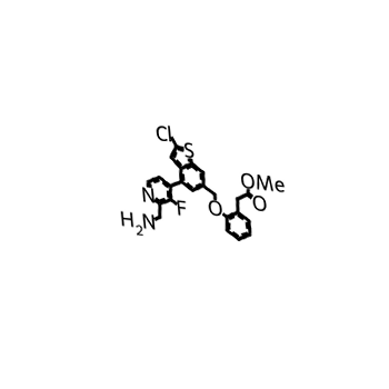 COC(=O)Cc1ccccc1OCc1cc(-c2ccnc(CN)c2F)c2cc(Cl)sc2c1